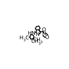 CC1CC(NC2N=CC(C(=O)N3CCOCC3)=C3CCCCC32)CC(C)(C)C1